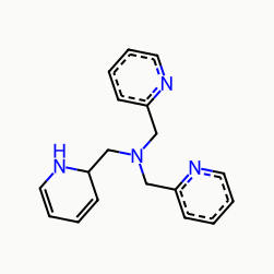 C1=CNC(CN(Cc2ccccn2)Cc2ccccn2)C=C1